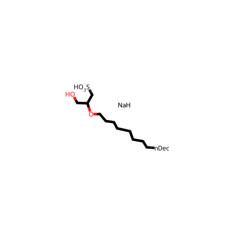 CCCCCCCCCCCCCCCCCCOC(CO)CS(=O)(=O)O.[NaH]